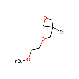 CCCCOCCOCC1(CC)COC1